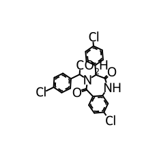 O=C(O)C(c1ccc(Cl)cc1)N1C(=O)c2ccc(Cl)cc2NC(=O)C1c1ccc(Cl)cc1